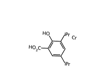 CC(C)c1cc(C(=O)O)c(O)c(C(C)C)c1.[Cr]